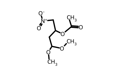 COC(CC(C[N+](=O)[O-])OC(C)=O)OC